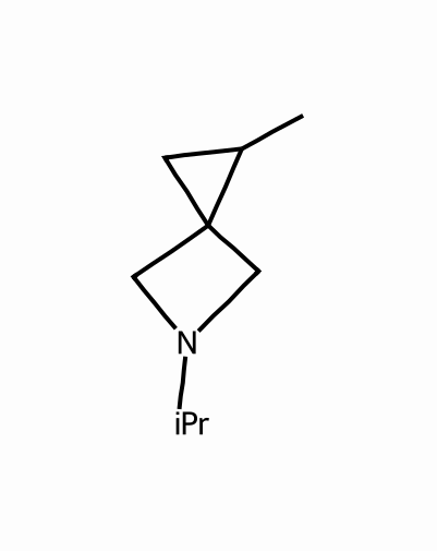 CC(C)N1CC2(CC2C)C1